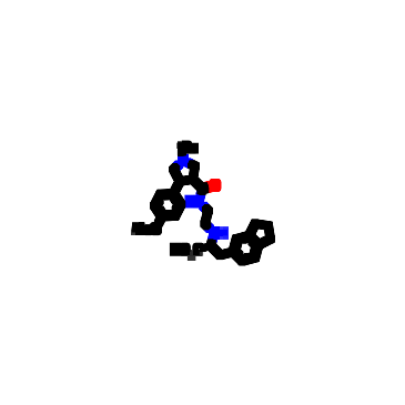 COc1ccc(C2CN(C(C)(C)C)CC2C(=O)NCCN[C@@H](Cc2ccc3c(c2)CCC3)C(=O)O)cc1